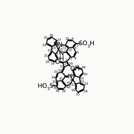 O=C1C(c2ccc3c(S(=O)(=O)O)ccc4c3c2NC2(N4)c3ccccc3-c3ccccc32)=C(O)/C1=c1/ccc2c(S(=O)(=O)O)ccc3c2c1=NC1(C3)c2ccccc2-c2ccccc21